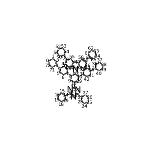 c1ccc(-c2ccc(-c3cc(-c4nc(-c5ccccc5)nc(-c5ccccc5)n4)cc(-c4ccc(-c5ccccc5)cc4)c3-n3c4ccc(-c5ccccc5)cc4c4cc(-c5ccccc5)ccc43)cc2)cc1